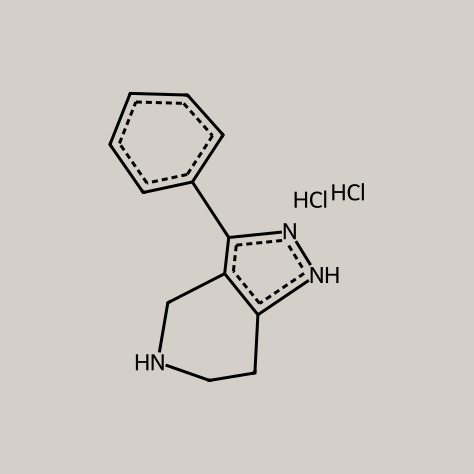 Cl.Cl.c1ccc(-c2n[nH]c3c2CNCC3)cc1